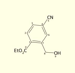 CCOC(=O)c1ccc(C#N)cc1CO